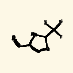 O=CC1COC(C(F)(F)F)N1